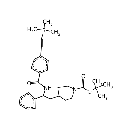 CC(C)(C)OC(=O)N1CCC(CC(NC(=O)c2ccc(C#C[Si](C)(C)C)cc2)c2ccccc2)CC1